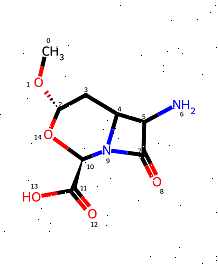 CO[C@@H]1CC2C(N)C(=O)N2[C@@H](C(=O)O)O1